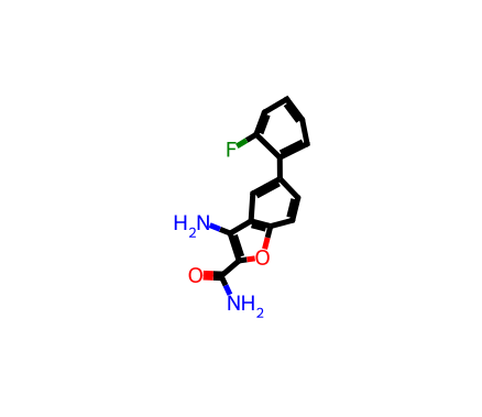 NC(=O)c1oc2ccc(-c3ccccc3F)cc2c1N